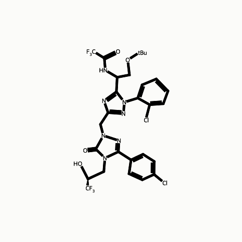 CC(C)(C)OCC(NC(=O)C(F)(F)F)c1nc(Cn2nc(-c3ccc(Cl)cc3)n(C[C@H](O)C(F)(F)F)c2=O)nn1-c1ccccc1Cl